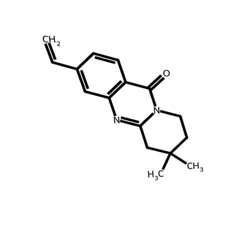 C=Cc1ccc2c(=O)n3c(nc2c1)CC(C)(C)CC3